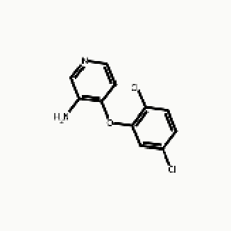 Nc1cnccc1Oc1cc(Cl)ccc1Cl